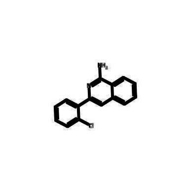 Nc1nc(-c2ccccc2Cl)cc2ccccc12